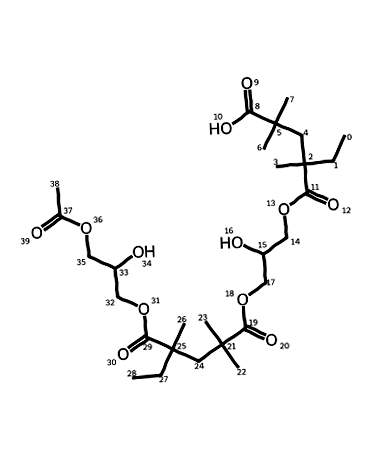 CCC(C)(CC(C)(C)C(=O)O)C(=O)OCC(O)COC(=O)C(C)(C)CC(C)(CC)C(=O)OCC(O)COC(C)=O